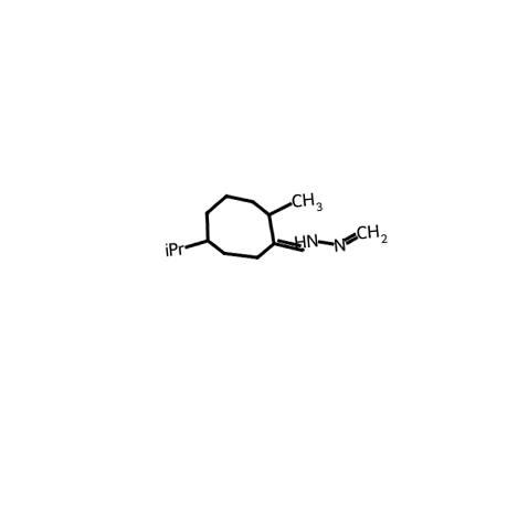 C=NN/C=C1/CCC(C(C)C)CCCC1C